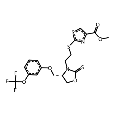 COC(=O)c1csc(SCCN2C(=S)OC[C@@H]2COc2cccc(OC(F)(F)F)c2)n1